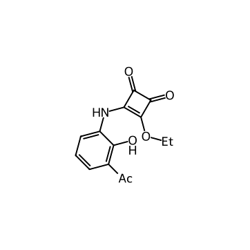 CCOc1c(Nc2cccc(C(C)=O)c2O)c(=O)c1=O